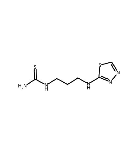 NC(=S)NCCCNc1nncs1